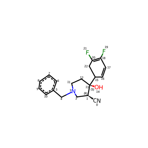 N#C[C@H]1CN(Cc2ccccc2)CC[C@]1(O)C1C=CC(F)=C(F)C1